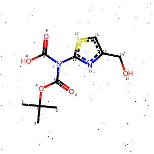 CC(C)(C)OC(=O)N(C(=O)O)c1nc(CO)cs1